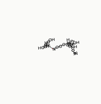 Cc1ncsc1-c1ccc(CNC(=O)[C@@H]2C[C@@H](O)CN2C(=O)[C@@H](NC(=O)CCOCCOCCOCCN(C)CCCCC[C@@H]2Cc3cc(O)ccc3[C@H]3CC[C@]4(C)[C@@H](O)CC[C@H]4[C@H]23)C(C)C)cc1